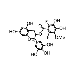 COc1c(O)c(O)c(F)c(C(=O)OC2Cc3c(O)cc(O)cc3O[C@@H]2c2cc(O)c(O)c(O)c2)c1F